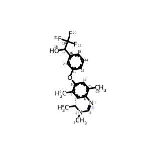 CCN(C)/C=N\c1cc(C)c(Oc2cccc(C(O)C(F)(F)F)c2)cc1C